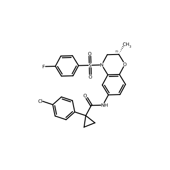 C[C@H]1CN(S(=O)(=O)c2ccc(F)cc2)c2cc(NC(=O)C3(c4ccc(Cl)cc4)CC3)ccc2O1